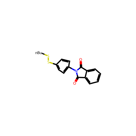 CCCCSSc1ccc(N2C(=O)c3ccccc3C2=O)cc1